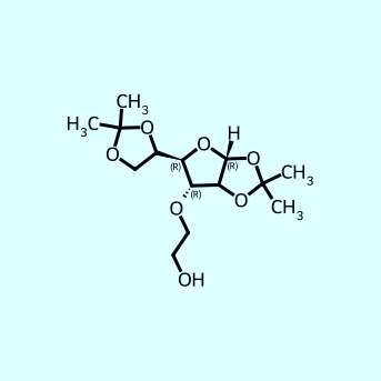 CC1(C)OCC([C@H]2O[C@@H]3OC(C)(C)OC3[C@@H]2OCCO)O1